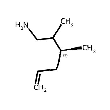 C=CC[C@H](C)C(C)CN